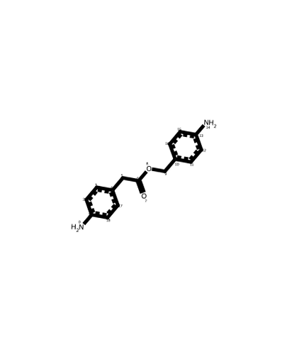 Nc1ccc([CH]C(=O)OCc2ccc(N)cc2)cc1